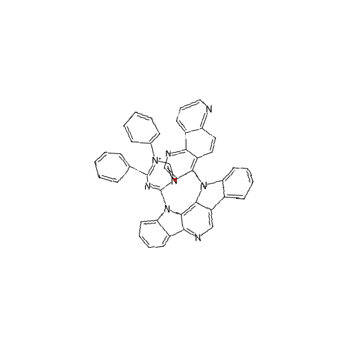 c1ccc(-c2nc(-n3c4ccccc4c4ncc5c6ccccc6n(-c6ccnc7c6ccc6ncccc67)c5c43)nc[n+]2-c2ccccc2)cc1